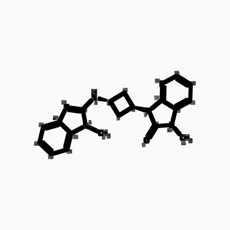 Cn1c(N[C@H]2C[C@H](n3c(=O)n(C)c4cccnc43)C2)nc2ccccc21